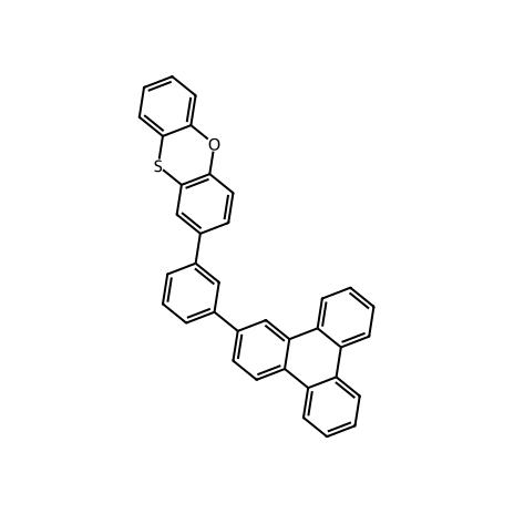 c1cc(-c2ccc3c(c2)Sc2ccccc2O3)cc(-c2ccc3c4ccccc4c4ccccc4c3c2)c1